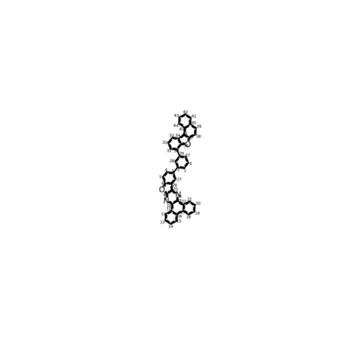 c1cc(-c2ccc3oc4nc5c6ccccc6c6ccccc6c5nc4c3c2)cc(-c2cccc3c2oc2ccc4ccccc4c23)c1